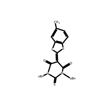 CCCCN1C(=O)C(=C2Sc3ccc(C)cc3S2)C(=O)N(CCCC)C1=S